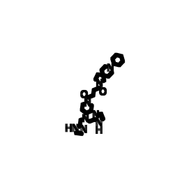 O=C(CCC(=O)N1CCC2(CCN(C3CCCCC3)CC2)C1)N1CCC(N(Cc2ncc[nH]2)Cc2ncc[nH]2)CC1